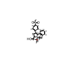 CS(=O)(=O)c1ccc(C2=C(c3ccccc3)S(C(F)(F)F)(C(F)(F)F)C(CO)=N2)cc1